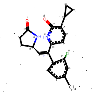 Cc1ccc(/C(=C/[C@H]2CCC(=O)N2)c2ccc(C3CC3)c(=O)[nH]2)c(Cl)c1